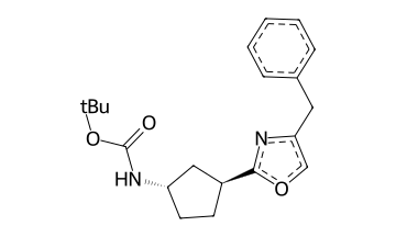 CC(C)(C)OC(=O)N[C@H]1CC[C@H](c2nc(Cc3ccccc3)co2)C1